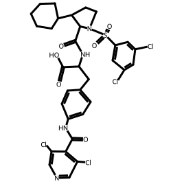 O=C(Nc1ccc(CC(NC(=O)C2C(C3CCCCC3)CCN2S(=O)(=O)c2cc(Cl)cc(Cl)c2)C(=O)O)cc1)c1c(Cl)cncc1Cl